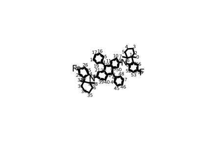 CC12CCCCC1(C)N(c1ccc3c(-c4ccccc4)c4cc(N5c6ccc(F)cc6C6(C)CCCCC56C)ccc4c(-c4ccccc4)c3c1)c1ccc(F)cc12